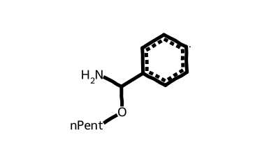 CCCCCOC(N)c1cc[c]cc1